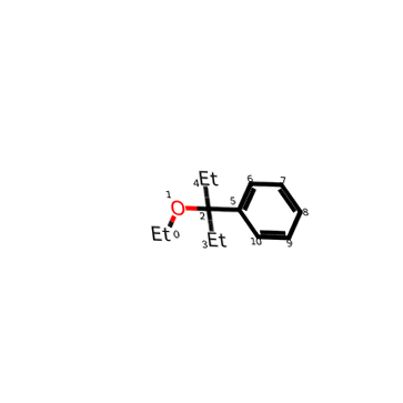 CCOC(CC)(CC)c1ccccc1